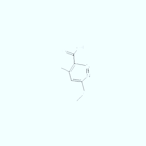 COc1cc(Cl)c(C(=O)O)nn1